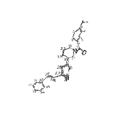 O=C(c1ccc(F)cc1)N1CCC[C@H](n2cnc(C=Cc3ccccc3)c2)C1